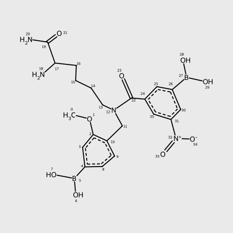 COc1cc(B(O)O)ccc1CN(CCCCC(N)C(N)=O)C(=O)c1cc(B(O)O)cc([N+](=O)[O-])c1